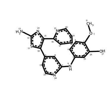 COc1ccc(Nc2cc(-c3sc(N)nc3-c3ccccn3)ccn2)cc1O